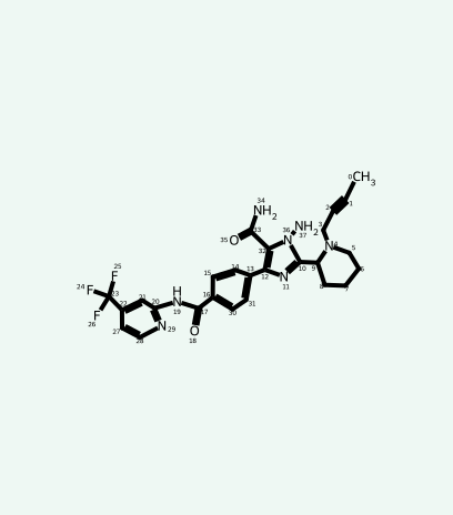 CC#CCN1CCCCC1c1nc(-c2ccc(C(=O)Nc3cc(C(F)(F)F)ccn3)cc2)c(C(N)=O)n1N